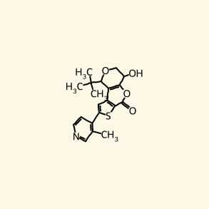 Cc1cnccc1-c1cc2c3c(oc(=O)c2s1)C(O)COC3C(C)(C)C